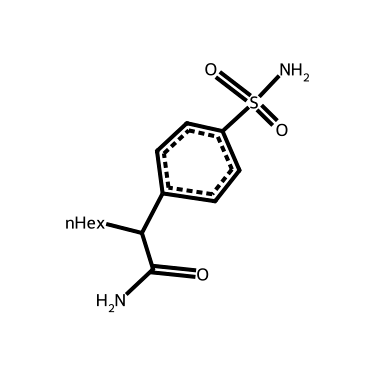 CCCCCCC(C(N)=O)c1ccc(S(N)(=O)=O)cc1